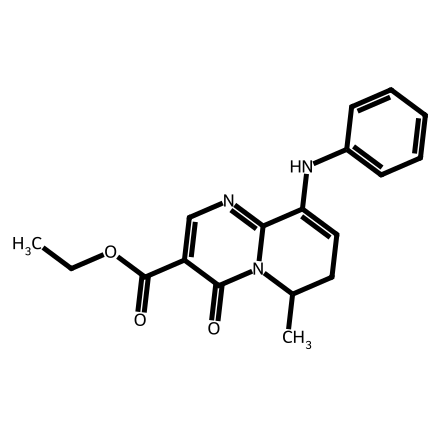 CCOC(=O)c1cnc2n(c1=O)C(C)CC=C2Nc1ccccc1